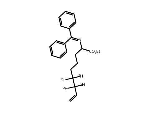 [2H]C([2H])(C=C)C([2H])([2H])CCCC(N=C(c1ccccc1)c1ccccc1)C(=O)OCC